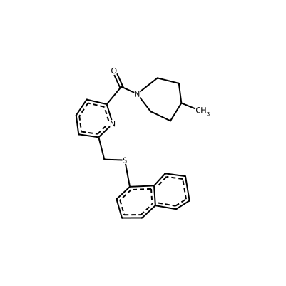 CC1CCN(C(=O)c2cccc(CSc3cccc4ccccc34)n2)CC1